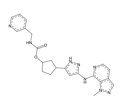 Cn1ncc2ccnc(Nc3cc(C4CCC(OC(=O)NCc5cccnc5)C4)[nH]n3)c21